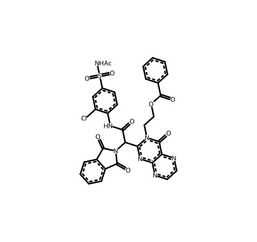 CC(=O)NS(=O)(=O)c1ccc(NC(=O)C(c2nc3nccnc3c(=O)n2CCOC(=O)c2ccccc2)N2C(=O)c3ccccc3C2=O)c(Cl)c1